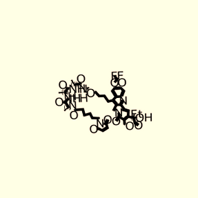 CC[C@@]1(O)C(=O)OCc2c1cc1n(c2=O)Cc2c-1nc1cc3c(cc1c2CCCCOCNC(=O)[C@H](C)NC(=O)[C@H](C)NC(=O)[C@H](C)NC(=O)CCCCCN1C(=O)C=CC1=O)OC(F)(F)O3